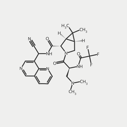 CN(C)C[C@H](NC(=O)C(F)(F)F)C(=O)N1C[C@H]2[C@@H]([C@H]1C(=O)NC(C#N)c1cncc3cccnc13)C2(C)C